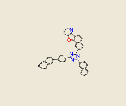 c1ccc2cc(-c3ccc(-c4nc(-c5ccc6ccccc6c5)nc(-c5ccc6ccc7c8ncccc8oc7c6c5)n4)cc3)ccc2c1